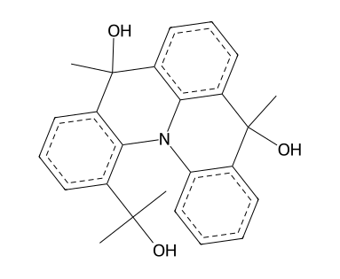 CC(C)(O)c1cccc2c1N1c3ccccc3C(C)(O)c3cccc(c31)C2(C)O